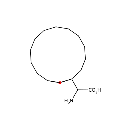 NC(C(=O)O)C12CCCCCCCCCCCC(C1)C2